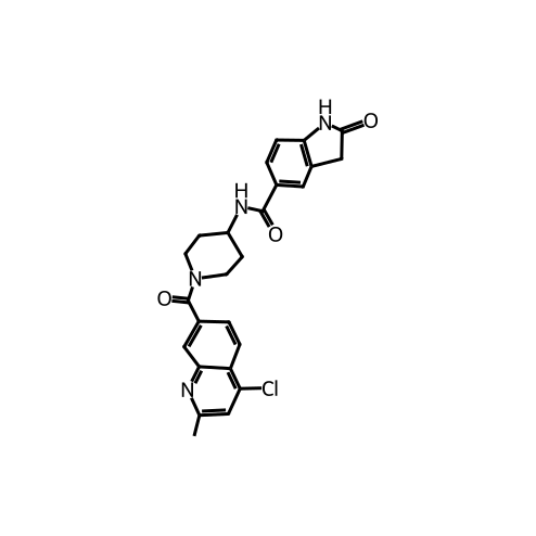 Cc1cc(Cl)c2ccc(C(=O)N3CCC(NC(=O)c4ccc5c(c4)CC(=O)N5)CC3)cc2n1